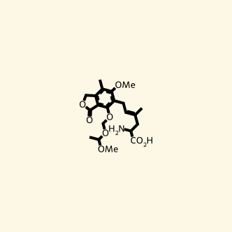 COc1c(C)c2c(c(OCOC(C)OC)c1C/C=C(\C)CC(N)C(=O)O)C(=O)OC2